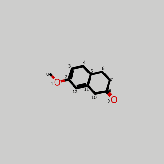 COC1=CCC2CCC(=O)CC2=C1